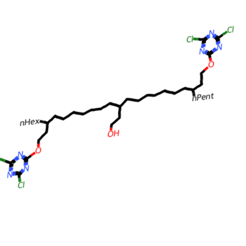 CCCCCCC(CCCCCCCC(CCO)CCCCCCCC(CCCCC)CCOc1nc(Cl)nc(Cl)n1)CCOc1nc(Cl)nc(Cl)n1